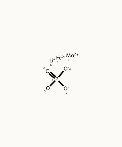 O=P([O-])([O-])[O-].[Fe+2].[Li+].[Mo+4]